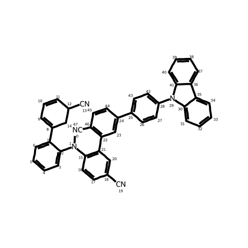 CN(c1ccccc1C1=CC=CC(C#N)C1)c1ccc(C#N)cc1-c1cc(-c2ccc(-n3c4ccccc4c4ccccc43)cc2)ccc1C#N